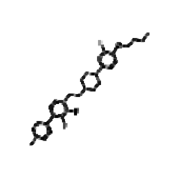 CCCCOc1ccc(C2CCC(CCc3ccc(-c4ccc(C)cc4)c(F)c3F)CC2)cc1F